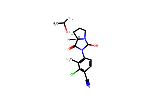 Cc1c(N2C(=O)[C@@H]3[C@H](OC(C)C)CCN3C2O)ccc(C#N)c1Cl